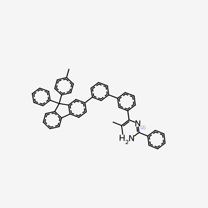 CC(C)=C(/N=C(\N)c1ccccc1)c1cccc(-c2cccc(-c3ccc4c(c3)C(c3ccccc3)(c3ccc(C)cc3)c3ccccc3-4)c2)c1